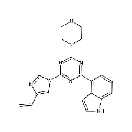 C=Cc1cn(-c2nc(-c3cccc4[nH]ccc34)nc(N3CCOCC3)n2)cn1